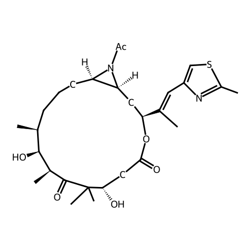 CC(=O)N1[C@@H]2CCC[C@H](C)[C@H](O)[C@H](C)C(=O)C(C)(C)[C@@H](O)CC(=O)O[C@H](C(C)=Cc3csc(C)n3)C[C@@H]21